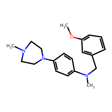 COc1cccc(CN(C)c2ccc(N3CCN(C)CC3)cc2)c1